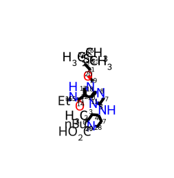 CCCCC1(C)CC(Nc2cnc3c(n2)c(C(=O)NCC)cn3COCC[Si](C)(C)C)CCN1C(=O)O